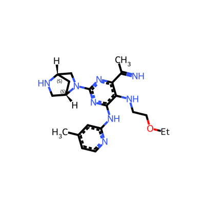 CCOCCNc1c(Nc2cc(C)ccn2)nc(N2C[C@@H]3C[C@H]2CN3)nc1C(C)=N